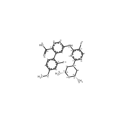 COc1ccc(-c2cc(Nc3nc(N4C[C@@H](C)O[C@@H](C)C4)ncc3F)nnc2C(=O)O)c(F)c1